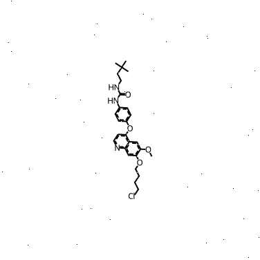 COc1cc2c(Oc3ccc(NC(=O)NCCC(C)(C)C)cc3)ccnc2cc1OCCCCCl